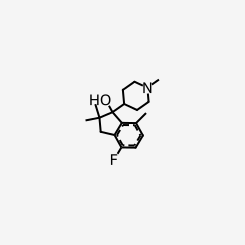 Cc1ccc(F)c2c1C(O)(C1CCN(C)CC1)C(C)(C)C2